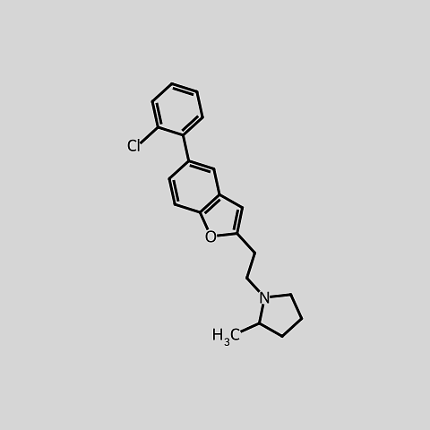 CC1CCCN1CCc1cc2cc(-c3ccccc3Cl)ccc2o1